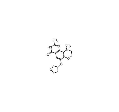 Cc1nc2c3c(c(O[C@@H]4CCOC4)cc2c(=O)[nH]1)OCCN3C